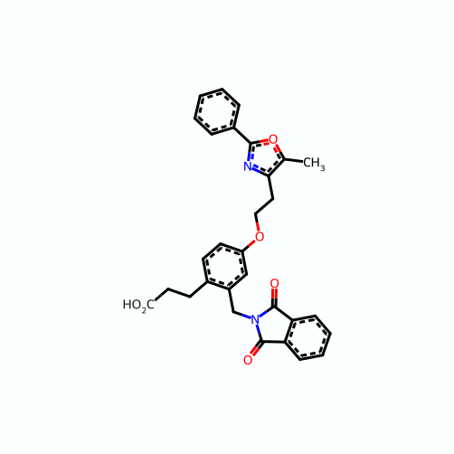 Cc1oc(-c2ccccc2)nc1CCOc1ccc(CCC(=O)O)c(CN2C(=O)c3ccccc3C2=O)c1